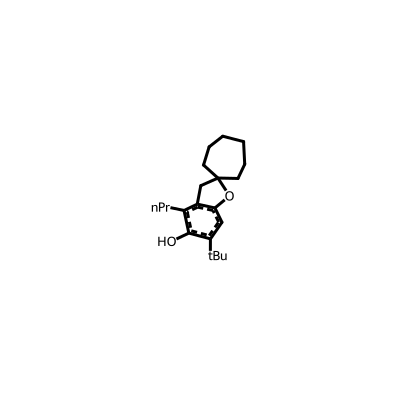 CCCc1c(O)c(C(C)(C)C)cc2c1CC1(CCCCCC1)O2